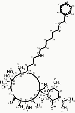 CC[C@H]1OC(=O)[C@H](C)[C@@H](O)[C@H](C)[C@@H](O[C@@H]2O[C@H](C)C[C@H](N(C)C)[C@H]2O)C(C)(O)CCCN(CCCNCCCCCCNCc2ccccc2)[C@H](C)[C@@H](O)[C@]1(C)O